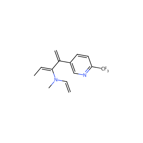 C=CN(C)/C(=C\C)C(=C)c1ccc(C(F)(F)F)nc1